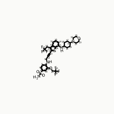 NS(=O)(=O)c1ccc(NCC#Cc2sc3c(NC4CCC(N5CCOCC5)CC4)cccc3c2CC(F)(F)F)c(OCC(F)(F)F)c1